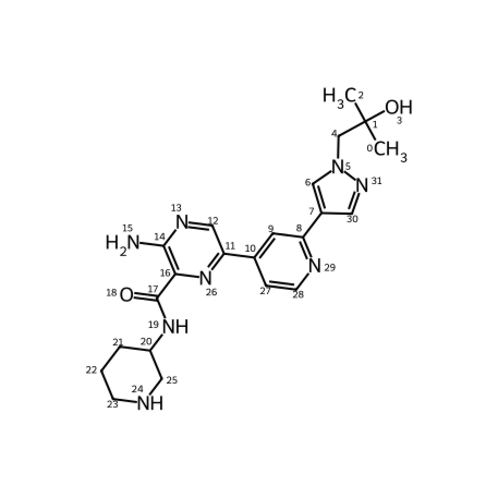 CC(C)(O)Cn1cc(-c2cc(-c3cnc(N)c(C(=O)NC4CCCNC4)n3)ccn2)cn1